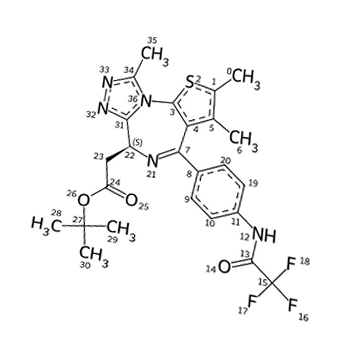 Cc1sc2c(c1C)C(c1ccc(NC(=O)C(F)(F)F)cc1)=N[C@@H](CC(=O)OC(C)(C)C)c1nnc(C)n1-2